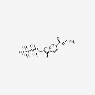 CCOC(=O)c1ccc2[nH]c(CO[Si](C)(C)C(C)(C)C)cc2c1